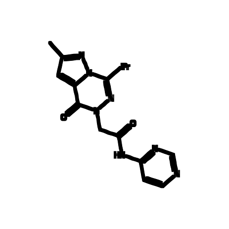 Cc1cc2c(=O)n(CC(=O)Nc3ccncn3)nc(C(C)C)n2n1